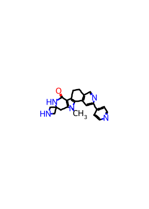 Cn1c2c(c3c1-c1cc(-c4ccncc4)ncc1CC3)C(=O)NC1(CNC1)C2